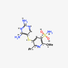 COc1nc(C(C)C)c(Sc2cnc(N)nc2N)cc1S(N)(=O)=O